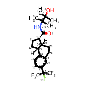 CC(C)(O)C(C)(C)NC(=O)[C@@H]1CC[C@H]2c3ccc(C(F)(C(F)(F)F)C(F)(F)F)cc3CC[C@@H]12